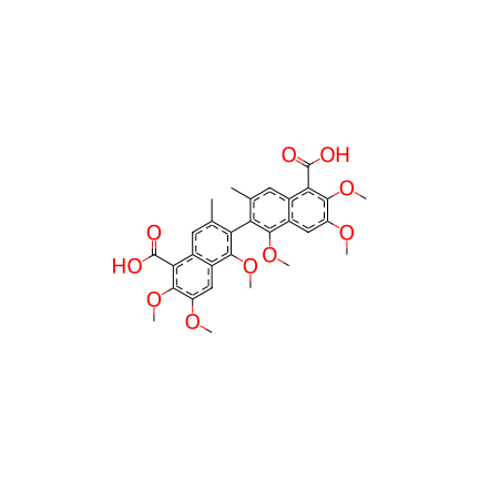 COc1cc2c(OC)c(-c3c(C)cc4c(C(=O)O)c(OC)c(OC)cc4c3OC)c(C)cc2c(C(=O)O)c1OC